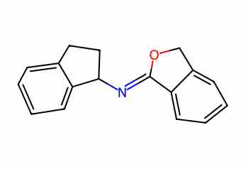 c1ccc2c(c1)COC2=NC1CCc2ccccc21